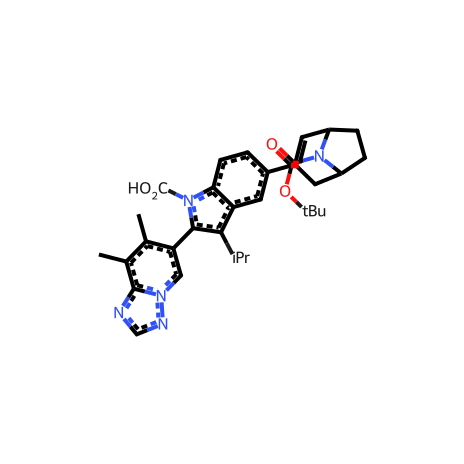 Cc1c(-c2c(C(C)C)c3cc(C4=CC5CCC(C4)N5C(=O)OC(C)(C)C)ccc3n2C(=O)O)cn2ncnc2c1C